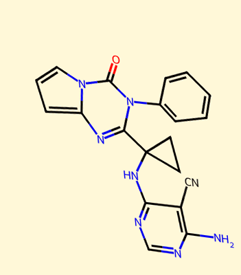 N#Cc1c(N)ncnc1NC1(c2nc3cccn3c(=O)n2-c2ccccc2)CC1